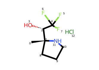 C[C@]1([C@H](O)C(F)(F)F)CCCN1.Cl